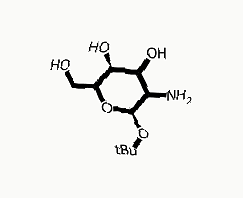 CC(C)(C)O[C@H]1OC(CO)[C@@H](O)C(O)C1N